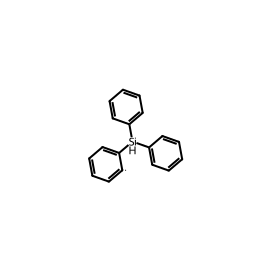 [c]1ccccc1[SiH](c1ccccc1)c1ccccc1